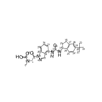 CN(CC(=O)n1ncc2c(NC(=O)NC3CCc4cc(C(C)(C)C)ccc43)cccc21)C(=O)O